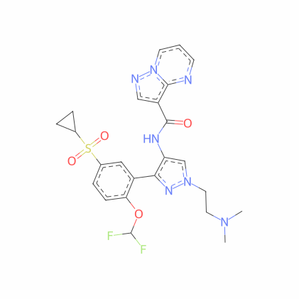 CN(C)CCn1cc(NC(=O)c2cnn3cccnc23)c(-c2cc(S(=O)(=O)C3CC3)ccc2OC(F)F)n1